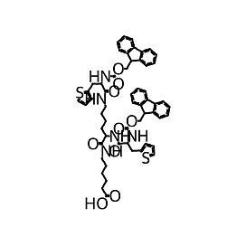 O=C(O)CCCCCNC(=O)C(CCCCNC(=O)C(Cc1cccs1)NC(=O)OCC1c2ccccc2-c2ccccc21)NC(=O)C(Cc1cccs1)NC(=O)OCC1c2ccccc2-c2ccccc21